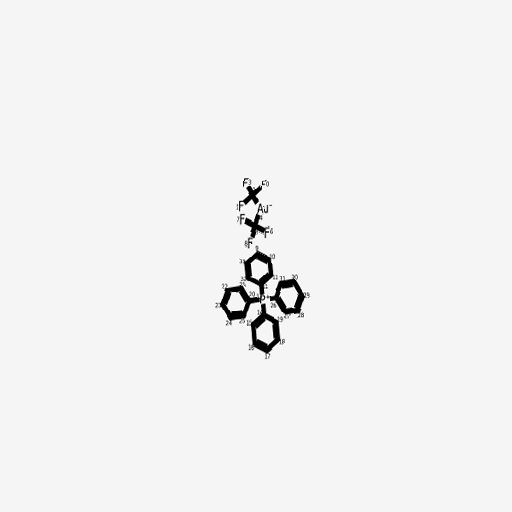 F[C](F)(F)[Au-][C](F)(F)F.c1ccc([P+](c2ccccc2)(c2ccccc2)c2ccccc2)cc1